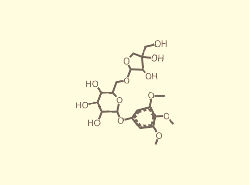 COc1cc(OC2OC(COC3OCC(O)(CO)C3O)C(O)C(O)C2O)cc(OC)c1OC